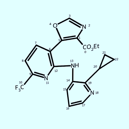 CCOC(=O)c1ncoc1-c1ccc(C(F)(F)F)nc1Nc1cccnc1C1CC1